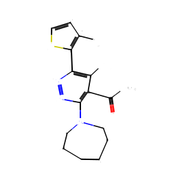 COC(=O)c1c(N2CCCCCC2)nnc(-c2sccc2C)c1C